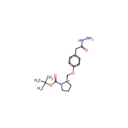 CC(C)(C)OC(=O)N1CCC[C@@H]1COc1ccc(CC(=O)NN)cc1